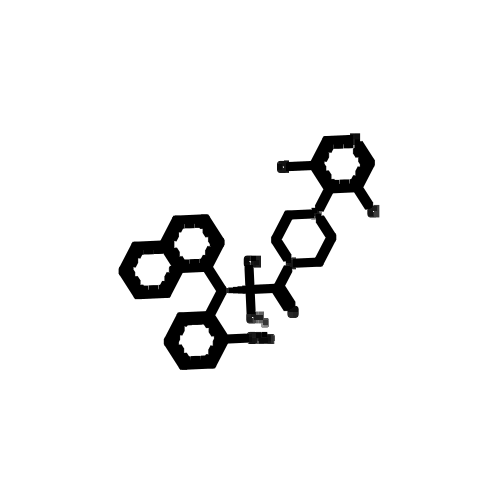 COc1ccccc1[C@H](c1cccc2ccccc12)C(C)(C#N)C(=O)N1CCN(c2c(Cl)cncc2Cl)CC1